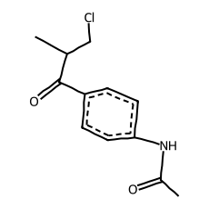 CC(=O)Nc1ccc(C(=O)C(C)CCl)cc1